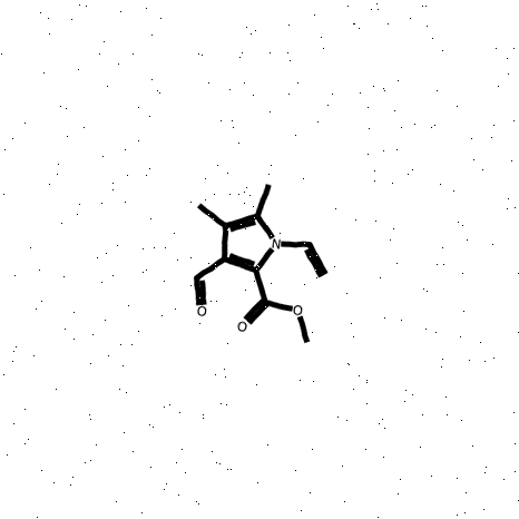 C=Cn1c(C)c(C)c(C=O)c1C(=O)OC